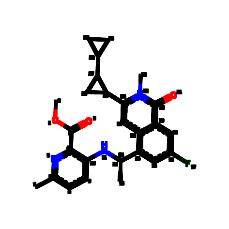 COC(=O)c1nc(C)ccc1N[C@H](C)c1cc(F)cc2c(=O)n(C)c(C3CC3C3CC3)cc12